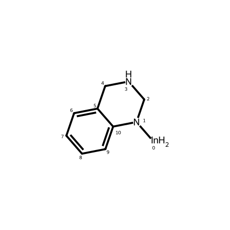 [InH2][N]1CNCc2ccccc21